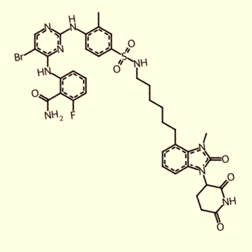 Cc1cc(S(=O)(=O)NCCCCCCc2cccc3c2n(C)c(=O)n3C2CCC(=O)NC2=O)ccc1Nc1ncc(Br)c(Nc2cccc(F)c2C(N)=O)n1